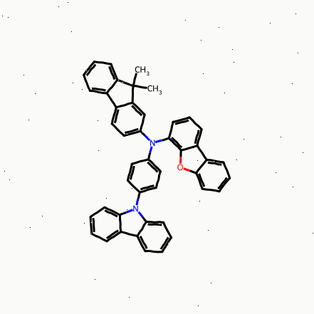 CC1(C)c2ccccc2-c2ccc(N(c3ccc(-n4c5ccccc5c5ccccc54)cc3)c3cccc4c3oc3ccccc34)cc21